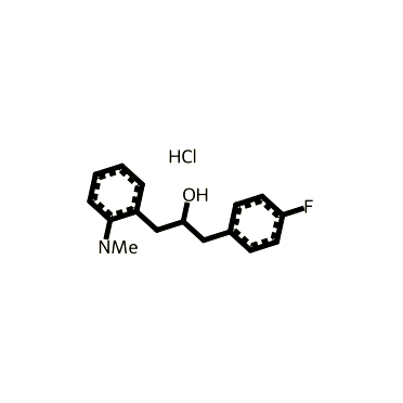 CNc1ccccc1CC(O)Cc1ccc(F)cc1.Cl